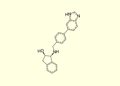 O[C@@H]1Cc2ccccc2[C@@H]1NCc1ccc(-c2ccc3nc[nH]c3c2)cc1